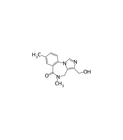 Cc1ccc2c(c1)C(=O)N(C)Cc1c(CO)ncn1-2